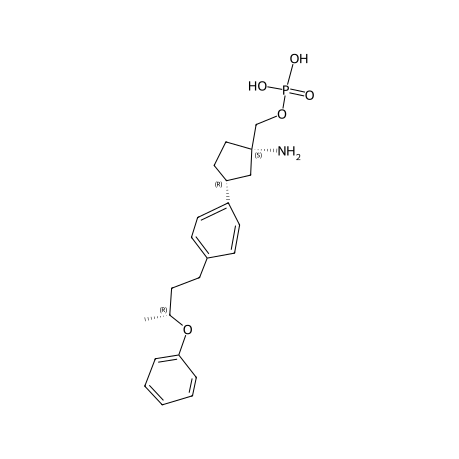 C[C@H](CCc1ccc([C@@H]2CC[C@@](N)(COP(=O)(O)O)C2)cc1)Oc1ccccc1